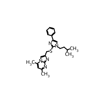 Cc1cc(C)n2cc(CSc3nc(-c4ccccc4)cn3CCC(C)C)nc2n1